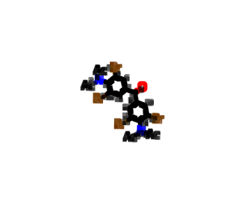 CC(=O)N(C(C)=O)c1c(Br)cc(C(=O)c2cc(Br)c(N(C(C)=O)C(C)=O)c(Br)c2)cc1Br